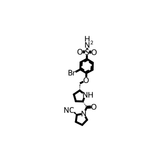 N#C[C@@H]1CCCN1C(=O)[C@@H]1CC[C@H](COc2ccc(S(N)(=O)=O)cc2Br)N1